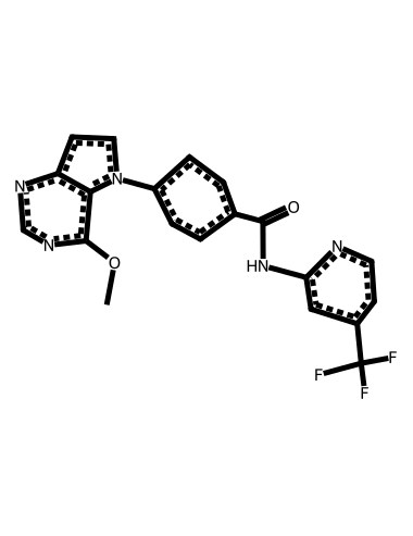 COc1ncnc2ccn(-c3ccc(C(=O)Nc4cc(C(F)(F)F)ccn4)cc3)c12